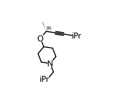 CC(C)C#C[C@@H](C)OC1CCN(CC(C)C)CC1